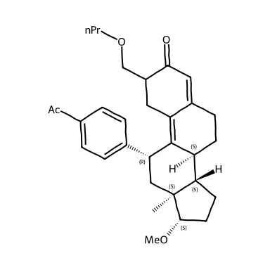 CCCOCC1CC2=C3[C@@H](CCC2=CC1=O)[C@@H]1CC[C@H]([17O]C)[C@@]1(C)C[C@@H]3c1ccc(C(C)=O)cc1